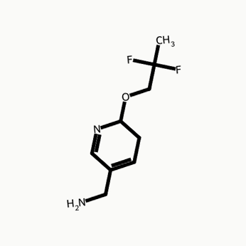 CC(F)(F)COC1CC=C(CN)C=N1